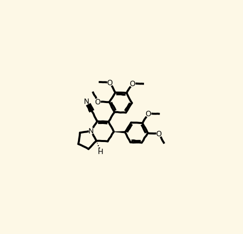 COc1ccc([C@H]2C[C@H]3CCCN3C(C#N)=C2c2ccc(OC)c(OC)c2OC)cc1OC